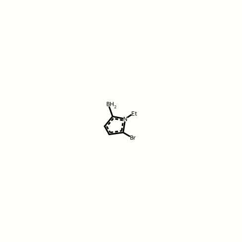 Bc1ccc(Br)n1CC